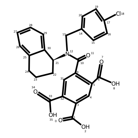 O=C(O)c1cc(C(=O)O)c(C(=O)N(Cc2ccc(Cl)cc2)[C@H]2CCCc3ccccc32)cc1C(=O)O